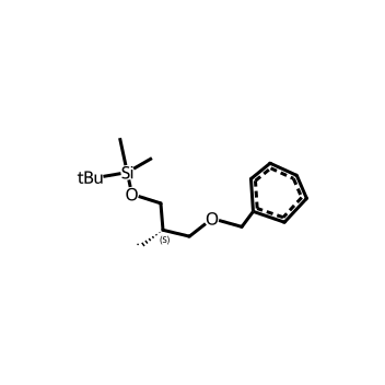 [CH2][C@@H](COCc1ccccc1)CO[Si](C)(C)C(C)(C)C